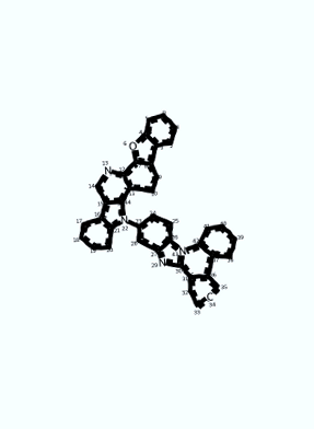 c1ccc2c(c1)oc1c2ccc2c1ncc1c3ccccc3n(-c3ccc4c(c3)nc3c5ccccc5c5ccccc5n43)c12